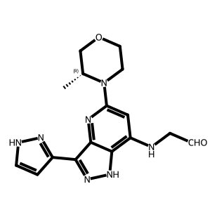 C[C@@H]1COCCN1c1cc(NCC=O)c2[nH]nc(-c3cc[nH]n3)c2n1